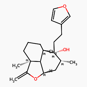 C=C1O[C@@H]2C[C@@H](C)[C@](O)(CCc3ccoc3)[C@]3(C)CCC[C@@]1(C)C23